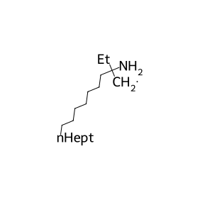 [CH2]C(N)(CC)CCCCCCCCCCCCCC